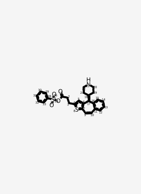 O=C(CCc1cc2c(s1)C=Cc1ccccc1C2=C1CCNCC1)OS(=O)(=O)c1ccccc1